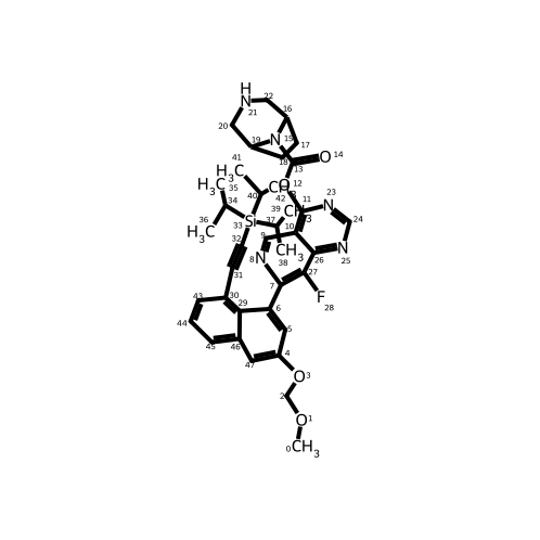 COCOc1cc(-c2ncc3c(OC(=O)N4C5CCC4CNC5)ncnc3c2F)c2c(C#C[Si](C(C)C)(C(C)C)C(C)C)cccc2c1